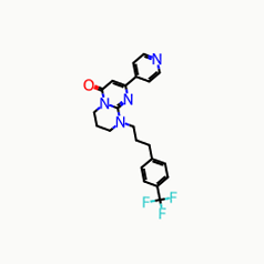 O=c1cc(-c2ccncc2)nc2n1CCCN2CCCc1ccc(C(F)(F)F)cc1